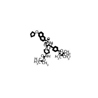 CC(C)(C)OC(=O)NC1CCN(C(=O)C(NS(=O)(=O)c2ccc3cc(OC4CCCC4)ccc3c2)C(F)(F)c2ccc(B3OC(C)(C)C(C)(C)O3)cc2)CC1